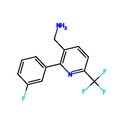 NCc1ccc(C(F)(F)F)nc1-c1cccc(F)c1